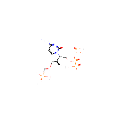 C=C(COCP(=O)(O)O)C(COP(=O)(OP(=O)(O)O)P(=O)(O)O)n1ccc(N)nc1=O